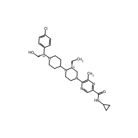 CC[C@H]1CN(c2ncc(C(=O)NC3CC3)nc2C)CCN1C1CCN([C@@H](CO)c2ccc(Cl)cc2)CC1